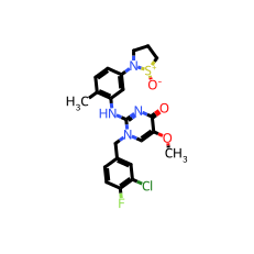 COc1cn(Cc2ccc(F)c(Cl)c2)c(Nc2cc(N3CCC[S+]3[O-])ccc2C)nc1=O